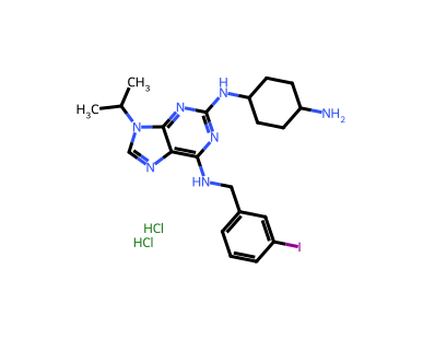 CC(C)n1cnc2c(NCc3cccc(I)c3)nc(NC3CCC(N)CC3)nc21.Cl.Cl